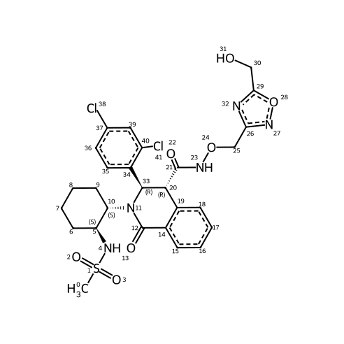 CS(=O)(=O)N[C@H]1CCCC[C@@H]1N1C(=O)c2ccccc2[C@@H](C(=O)NOCc2noc(CO)n2)[C@@H]1c1ccc(Cl)cc1Cl